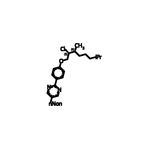 CCCCCCCCCc1cnc(-c2ccc(OC[C@@H](Cl)[C@@H](C)CCCC(C)C)cc2)nc1